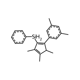 CC1=C(C)C(C)C(c2cc(C)cc(C)c2)=C1[SiH2]c1ccccc1